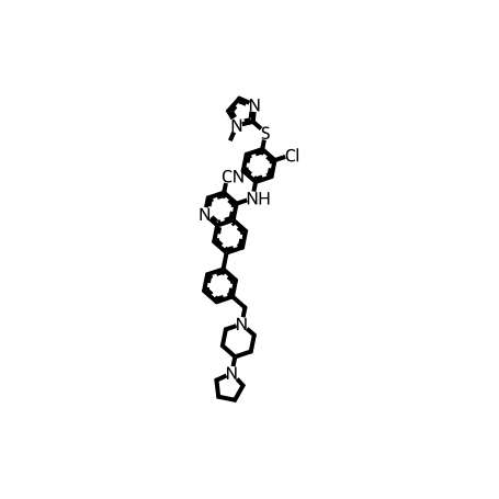 Cn1ccnc1Sc1ccc(Nc2c(C#N)cnc3cc(-c4cccc(CN5CCC(N6CCCC6)CC5)c4)ccc23)cc1Cl